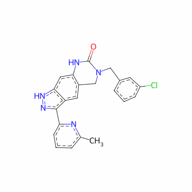 Cc1cccc(-c2n[nH]c3cc4c(cc23)CN(Cc2cccc(Cl)c2)C(=O)N4)n1